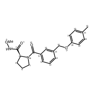 CONC(=O)[C@@H]1CCCN1C(=O)c1cccc(COc2ccc(C)cc2)c1